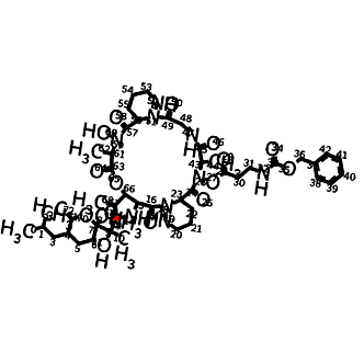 CC(C)CC1CCC(O)(C(C)(O)C(=O)NC2C(=O)N3NCCCC3C(=O)N(OC(=O)CCNC(=O)OCc3ccccc3)C(C)C(=O)NCC(=O)N3NCCCC3C(=O)N(O)C(C)C(=O)OC2C(C)C)OC1C